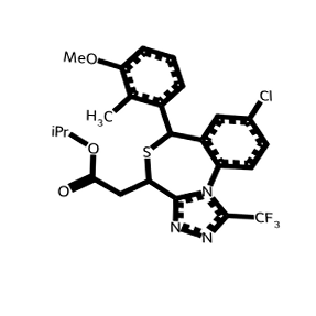 COc1cccc(C2SC(CC(=O)OC(C)C)c3nnc(C(F)(F)F)n3-c3ccc(Cl)cc32)c1C